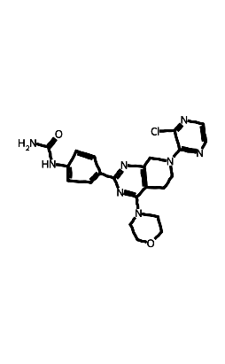 NC(=O)Nc1ccc(-c2nc3c(c(N4CCOCC4)n2)CCN(c2nccnc2Cl)C3)cc1